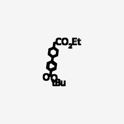 CCOC(=O)CC1CCC(c2ccc(C(=O)OC(C)(C)C)cc2)CC1